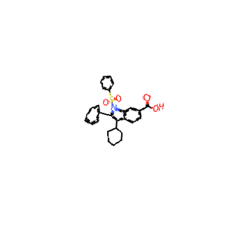 O=C(O)c1ccc2c(C3CCCCC3)c(-c3ccccc3)n(S(=O)(=O)c3ccccc3)c2c1